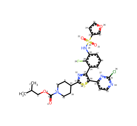 CC(C)COC(=O)N1CCC(c2nc(-c3cccc(NS(=O)(=O)c4ccoc4)c3F)c(-c3ccnc(Cl)n3)s2)CC1